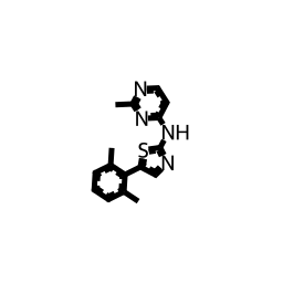 Cc1nccc(Nc2ncc(-c3c(C)cccc3C)s2)n1